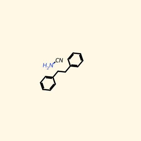 N#CN.c1ccc(CCc2ccccc2)cc1